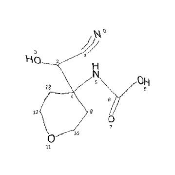 N#CC(O)C1(NC(=O)O)CCOCC1